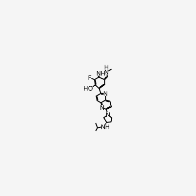 CN/C=C1/C=C(c2ccc3nc(N4CC[C@@H](NC(C)C)C4)ccc3n2)C(O)=C(F)C1=N